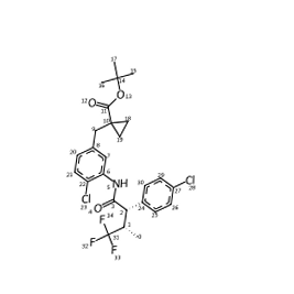 C[C@@H]([C@H](C(=O)Nc1cc(CC2(C(=O)OC(C)(C)C)CC2)ccc1Cl)c1ccc(Cl)cc1)C(F)(F)F